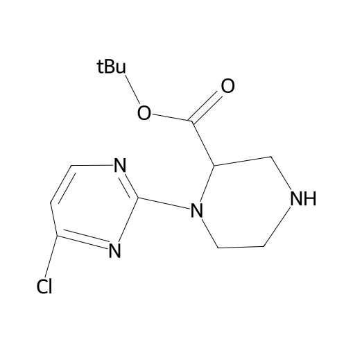 CC(C)(C)OC(=O)C1CNCCN1c1nccc(Cl)n1